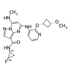 CNc1cc(Nc2cccnc2O[C@H]2C[C@@H](OC)C2)nc2c(C(=O)N[C@H]3C[C@H]3F)cnn12